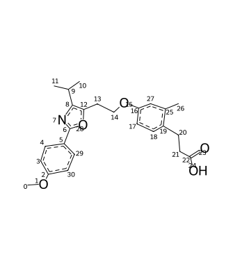 COc1ccc(-c2nc(C(C)C)c(CCOc3ccc(CCC(=O)O)c(C)c3)o2)cc1